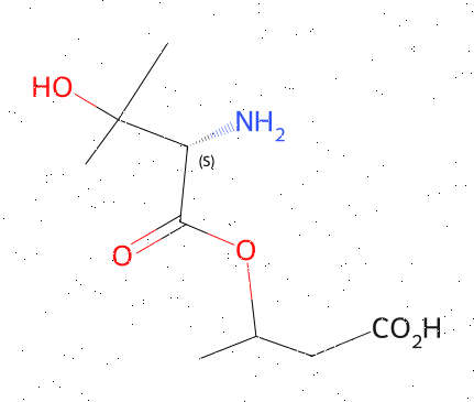 CC(CC(=O)O)OC(=O)[C@@H](N)C(C)(C)O